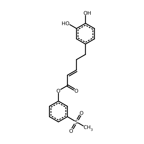 CS(=O)(=O)c1cccc(OC(=O)/C=C/CCc2ccc(O)c(O)c2)c1